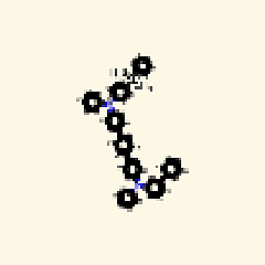 C[Si](C)(c1ccccc1)c1ccc(N(c2ccccc2)c2ccc(-c3ccc(-c4ccc(N(c5ccccc5)c5cccc(-c6ccccc6)c5)cc4)cc3)cc2)cc1